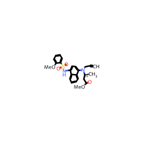 C#CCN(c1ccc(NS(=O)(=O)c2ccccc2OC)c2ccccc12)[C@@H](C)CC(=O)OC